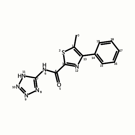 Cc1sc(C(=O)Nc2nnn[nH]2)nc1-c1ccccc1